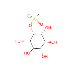 CS(=O)(=O)O[C@@H]1[C@H](O)[C@@H](O)[C@H](O)[C@@H](O)[C@@H]1O